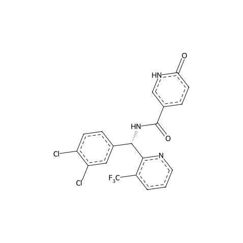 O=C(N[C@@H](c1ccc(Cl)c(Cl)c1)c1ncccc1C(F)(F)F)c1ccc(=O)[nH]c1